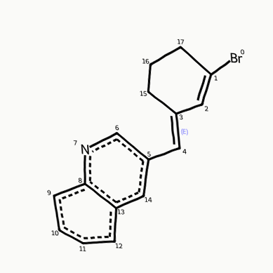 BrC1=C/C(=C/c2cnc3ccccc3c2)CCC1